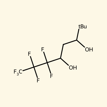 CC(C)(C)C(O)CC(O)C(F)(F)C(F)(F)C(F)(F)F